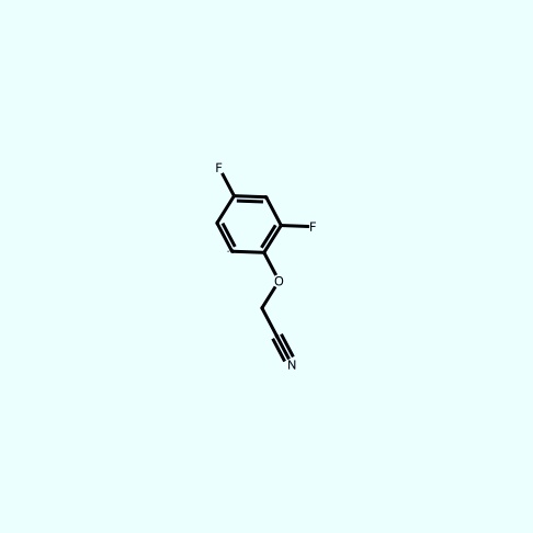 N#CCOc1[c]cc(F)cc1F